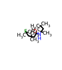 CC(C)CC(C)(C)NC(=O)CC(C)(C)CC(C)(C)F